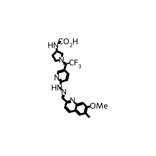 COc1cc2nc(C=NNc3ccc([C@@H](N4CCC(NC(=O)O)C4)C(F)(F)F)cn3)ccc2cc1C